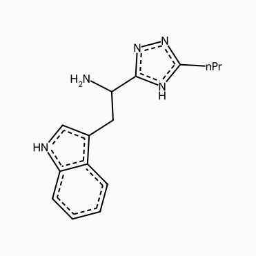 CCCc1nnc(C(N)Cc2c[nH]c3ccccc23)[nH]1